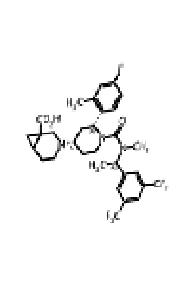 Cc1cc(F)ccc1[C@H]1C[C@@H](N2CCC3CC3(C(=O)O)C2)CCN1C(=O)N(C)[C@H](C)c1cc(C(F)(F)F)cc(C(F)(F)F)c1